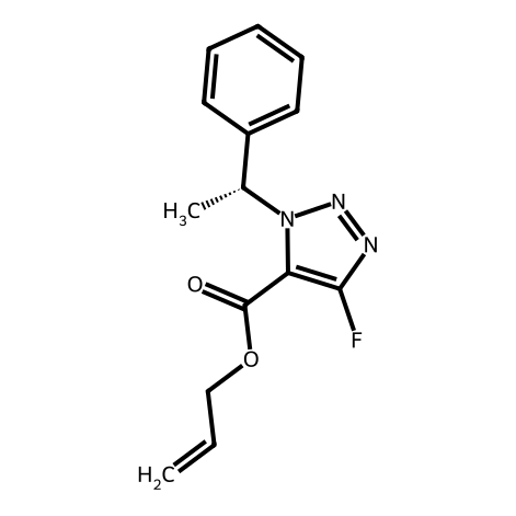 C=CCOC(=O)c1c(F)nnn1[C@H](C)c1ccccc1